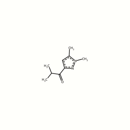 Cc1cc(C(=O)C(C)C)nn1C